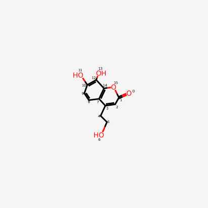 O=c1cc(CCO)c2ccc(O)c(O)c2o1